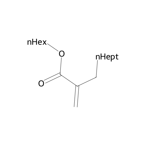 C=C(CCCCCCCC)C(=O)OCCCCCC